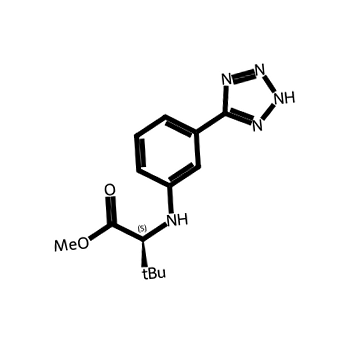 COC(=O)[C@@H](Nc1cccc(-c2nn[nH]n2)c1)C(C)(C)C